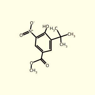 COC(=O)c1cc([N+](=O)[O-])c(O)c(C(C)(C)C)c1